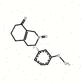 COc1cccc([C@@H]2CC3=C(C[N+]2=O)C(=O)CCC3)c1